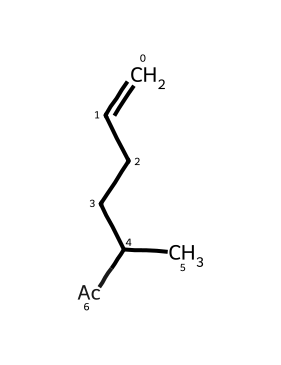 C=CCCC(C)C(C)=O